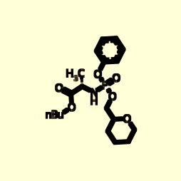 CCCCOC(=O)[C@H](C)NP(=O)(OCC1CCCCO1)Oc1ccccc1